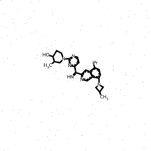 CC1CN(c2ccc(C(C)C)c3cc(C(=N)c4ccnc(N5CCC(O)C(C)C5)n4)ncc23)C1